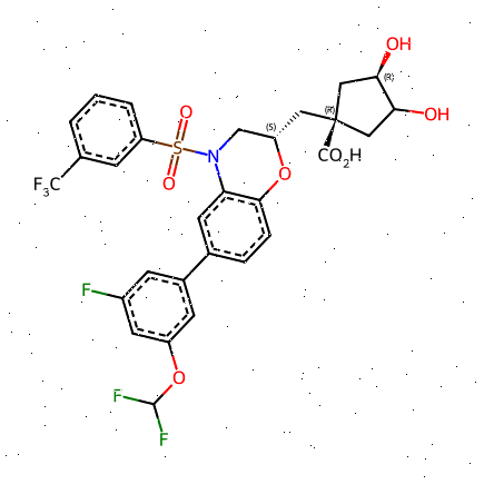 O=C(O)[C@]1(C[C@H]2CN(S(=O)(=O)c3cccc(C(F)(F)F)c3)c3cc(-c4cc(F)cc(OC(F)F)c4)ccc3O2)CC(O)[C@H](O)C1